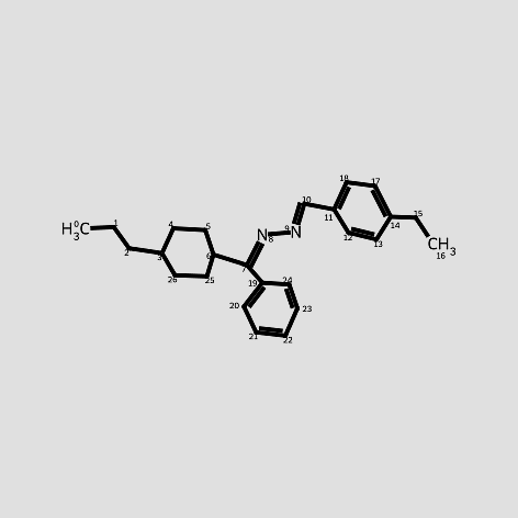 CCCC1CCC(C(=NN=Cc2ccc(CC)cc2)c2ccccc2)CC1